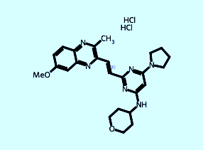 COc1ccc2nc(C)c(/C=C/c3nc(NC4CCOCC4)cc(N4CCCC4)n3)nc2c1.Cl.Cl